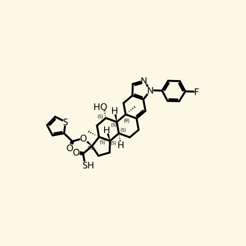 C[C@]12Cc3cnn(-c4ccc(F)cc4)c3C=C1CC[C@@H]1[C@@H]2[C@@H](O)C[C@@]2(C)[C@H]1CC[C@]2(OC(=O)c1cccs1)C(=O)S